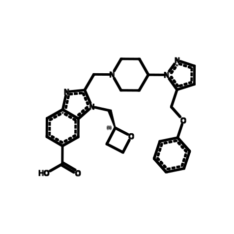 O=C(O)c1ccc2nc(CN3CCC(n4nccc4COc4ccccc4)CC3)n(C[C@@H]3CCO3)c2c1